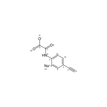 C#Cc1ccc(NC(=O)C(=O)[O-])cc1.[Na+]